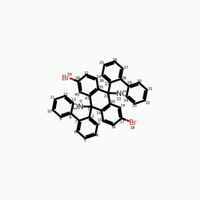 O=NC1(c2ccccc2-c2ccccc2)c2ccc(Br)cc2C(N=O)(c2ccccc2-c2ccccc2)c2ccc(Br)cc21